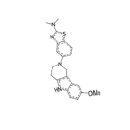 COc1ccc2[nH]c3c(c2c1)CN(c1ccc2sc(N(C)C)nc2c1)CC3